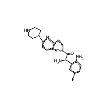 Nc1ccc(F)cc1N(N)C(=O)c1ccc2nc(N3CCNCC3)ccc2c1